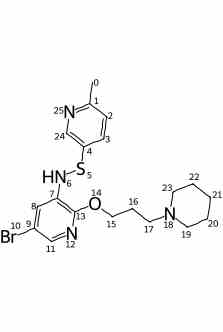 Cc1ccc(SNc2cc(Br)cnc2OCCCN2CCCCC2)cn1